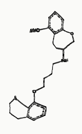 COc1cccc2c1CC(NCCCCOc1cccc3c1SCCC3)CO2